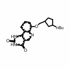 CCCCC1CCC(COc2cccc3c2ncc2c(=O)[nH]c(=O)[nH]c23)C1